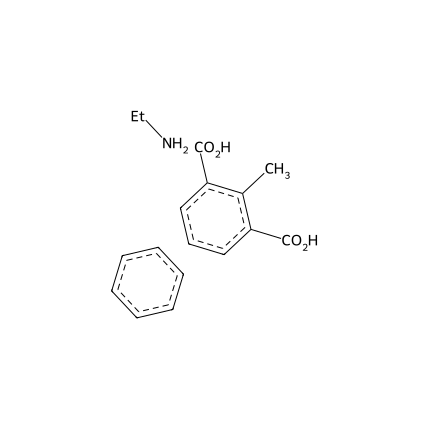 CCN.Cc1c(C(=O)O)cccc1C(=O)O.c1ccccc1